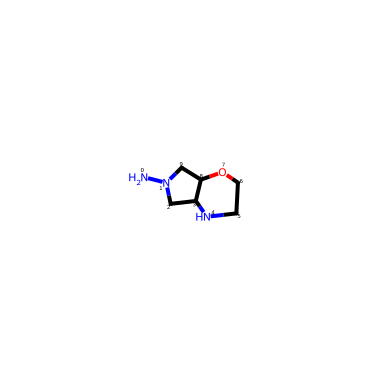 NN1CC2NCCOC2C1